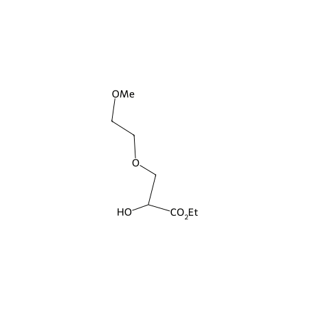 CCOC(=O)C(O)COCCOC